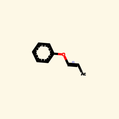 CC(=O)/C=C/Oc1ccccc1